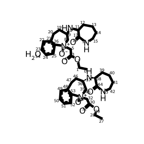 CCOC(=O)C[N+]1([O-])CC(NC2CCCCNC2=O)CCc2ccccc21.CCOC(=O)C[N+]1([O-])C[C@@H](N[C@H]2CCCCNC2=O)CCc2ccccc21.O